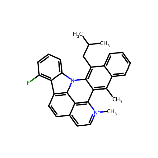 Cc1c2ccccc2c(CC(C)C)c2c1c1c3c(ccc4c5c(F)cccc5n2c43)cc[n+]1C